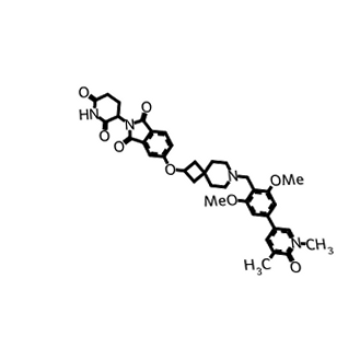 COc1cc(-c2cc(C)c(=O)n(C)c2)cc(OC)c1CN1CCC2(CC1)CC(Oc1ccc3c(c1)C(=O)N(C1CCC(=O)NC1=O)C3=O)C2